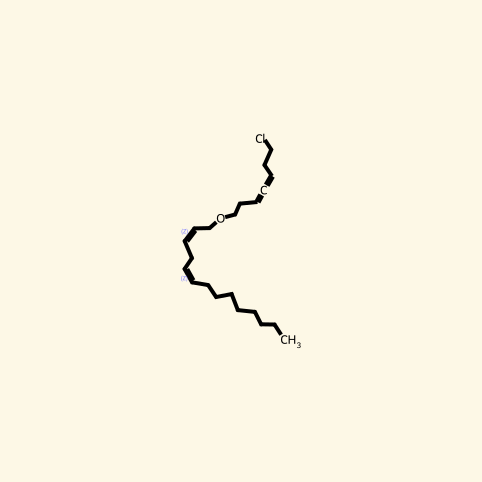 CCCCCCCC/C=C\C/C=C\COCCC=C=CCCCl